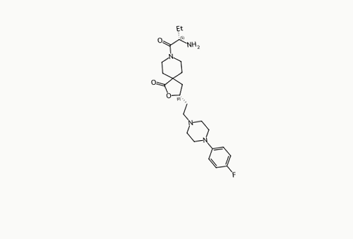 CC[C@H](N)C(=O)N1CCC2(CC1)C[C@H](CCN1CCN(c3ccc(F)cc3)CC1)OC2=O